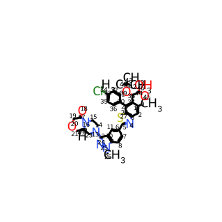 Cc1cc2nc(-c3ccc4c(c3)c(N3CCN5C(=O)COC[C@H]5C3)nn4C)sc2c(-c2ccc(Cl)cc2)c1C(OC(C)(C)C)C(=O)O